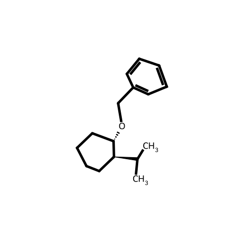 CC(C)[C@H]1CCCC[C@@H]1OCc1ccccc1